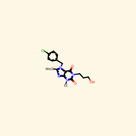 CCn1c(=O)n(CCCO)c(=O)c2c1nc(OC)n2Cc1ccc(Cl)cc1